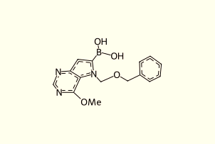 COc1ncnc2cc(B(O)O)n(COCc3ccccc3)c12